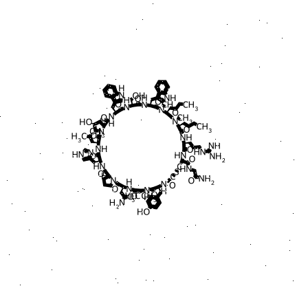 CCCC[C@H]1C(=O)N(C)[C@@H](CCCC)C(=O)N[C@@H](CCCNC(=N)N)C(=O)NC(C(=O)NCC(N)=O)CSCC(=O)N[C@@H](Cc2ccc(O)cc2)C(=O)NC(C)(C)C(=O)N[C@@H](CC(N)=O)C(=O)N2CCC[C@H]2C(=O)N[C@@H](Cc2c[nH]cn2)C(=O)N[C@@H](CC(C)C)C(=O)N2C[C@H](O)C[C@H]2C(=O)N[C@@H](Cc2c[nH]c3ccccc23)C(=O)N[C@@H](CO)C(=O)N[C@@H](Cc2c[nH]c3ccccc23)C(=O)N1C